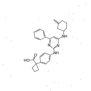 C=C1CCCC(Nc2cc(-c3ccccc3)nc(Nc3ccc(C4(C(=O)O)CCC4)cc3)n2)C1